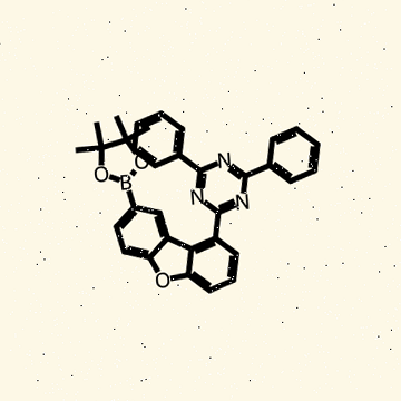 CC1(C)OB(c2ccc3oc4cccc(-c5nc(-c6ccccc6)nc(-c6ccccc6)n5)c4c3c2)OC1(C)C